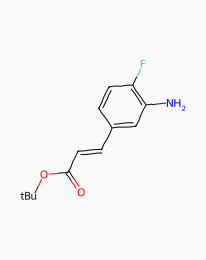 CC(C)(C)OC(=O)/C=C/c1ccc(F)c(N)c1